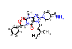 CC(C)=CCn1c(N2CCC(CN)CC2)nc2c1c(=O)n(CC(=O)c1ccccc1)c(=O)n2C